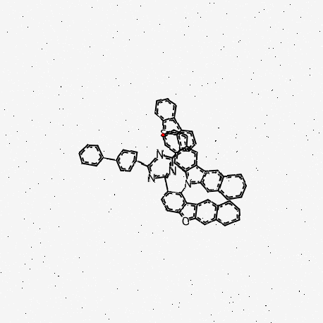 c1ccc(-c2ccc(-c3nc(-c4ccc5oc6cc7ccccc7cc6c5c4-n4c5cc6ccccc6cc5c5cc6ccccc6cc54)nc(-c4cccc5c4sc4ccccc45)n3)cc2)cc1